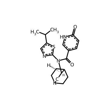 CC(C)c1cnc(N(C(=O)c2ccc(=O)[nH]c2)[C@@H]2CN3CCC2CC3)s1